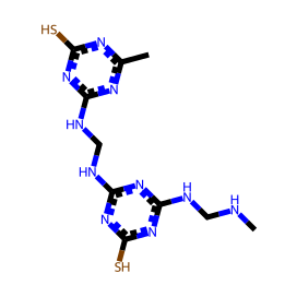 CNCNc1nc(S)nc(NCNc2nc(C)nc(S)n2)n1